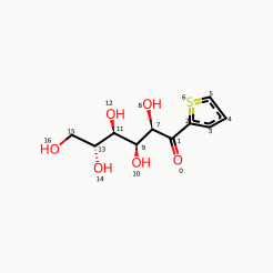 O=C(c1cccs1)[C@H](O)[C@@H](O)[C@H](O)[C@H](O)CO